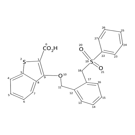 O=C(O)c1sc2ccccc2c1OCc1ccccc1CS(=O)(=O)c1ccccc1